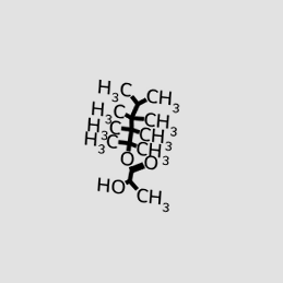 CC(O)C(=O)OC(C)(C)C(C)(C)C(C)(C)C(C)C